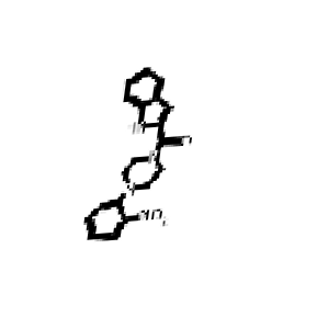 O=C(c1cc2ccccc2[nH]1)N1CCN(c2ccccc2[N+](=O)[O-])CC1